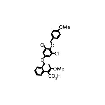 COC(C)=C(C(=O)O)c1ccccc1COc1cc(Cl)c(OCc2ccc(OC)cc2)c(Cl)c1